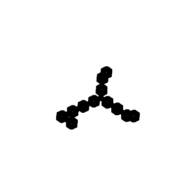 c1ccc2cc(-c3ccc(-c4ccc(N(c5ccc(-c6ccc(-c7ccc8c9ccccc9c9ccccc9c8c7)cc6)cc5)c5ccc(-c6ccc7ccccc7c6)cc5)cc4)cc3)ccc2c1